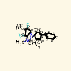 Cc1cc(-c2ccccc2)ccc1N1c2cc(F)c(C#N)c(F)c2N(C)[C@@H]1C